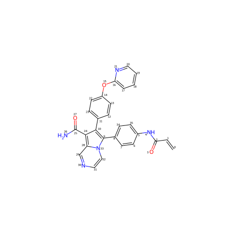 C=CC(=O)Nc1ccc(-c2c(-c3ccc(Oc4ccccn4)cc3)c(C(N)=O)c3cnccn23)cc1